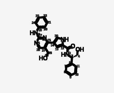 O=C(N[C@H](CO)c1ccccc1)c1cc(-c2nc(Nc3ccccc3)ncc2CO)c[nH]1